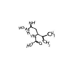 CC(C)C(CC(=N)[AsH]O)NC(=O)O